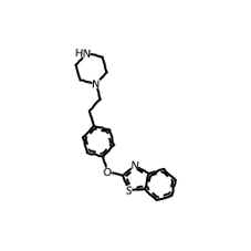 c1ccc2sc(Oc3ccc(CCN4CCNCC4)cc3)nc2c1